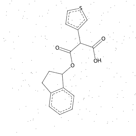 O=C(O)C(C(=O)OC1CCc2ccccc21)c1ccsc1